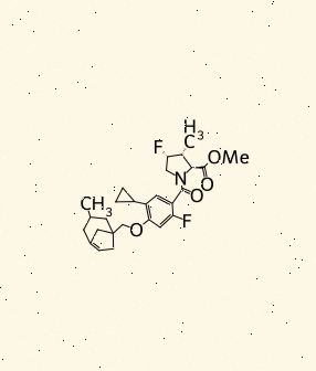 COC(=O)[C@@H]1[C@@H](C)[C@@H](F)CN1C(=O)c1cc(C2CC2)c(OCC23CC=C(CC(C)C2)C3)cc1F